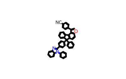 N#Cc1ccc(-c2coc3ccc4c(c23)-c2ccccc2C4(c2ccccc2)c2ccc(-c3nc4ccccc4n3-c3ccccc3)cc2)cc1